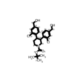 CC(C)(C)OC(=O)N1CCC(c2ccc(CO)cc2Cl)C(c2ccc(CO)cc2Cl)C1